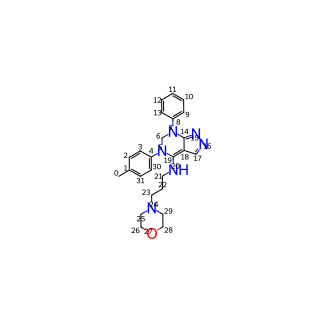 Cc1ccc(N2CN(c3ccccc3)C3=NN=CC3=C2NCCCN2CCOCC2)cc1